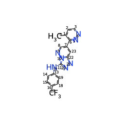 Cc1ccnnc1-c1cnn2c(Nc3ccc(C(F)(F)F)cc3)nnc2c1